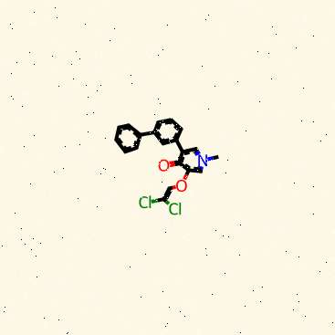 Cn1cc(OC=C(Cl)Cl)c(=O)c(-c2cccc(-c3ccccc3)c2)c1